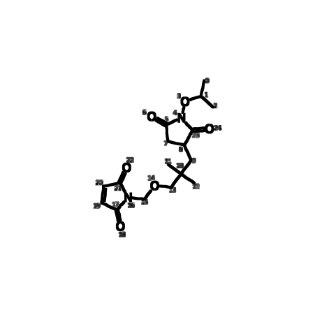 CC(C)ON1C(=O)CC(CC(C)(C)COCN2C(=O)C=CC2=O)C1=O